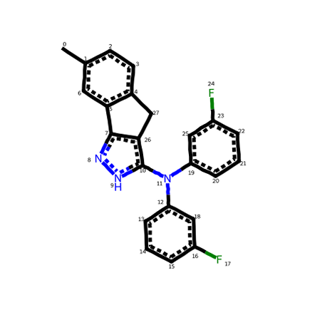 Cc1ccc2c(c1)-c1n[nH]c(N(c3cccc(F)c3)c3cccc(F)c3)c1C2